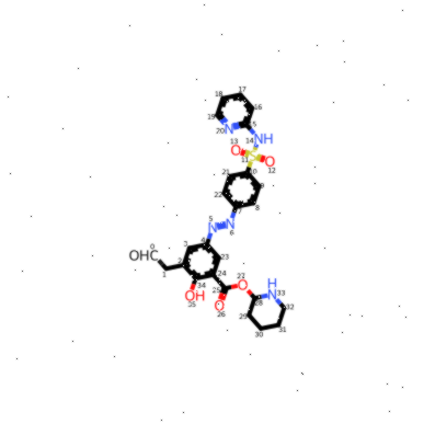 O=CCc1cc(N=Nc2ccc(S(=O)(=O)Nc3ccccn3)cc2)cc(C(=O)OC2CCCCN2)c1O